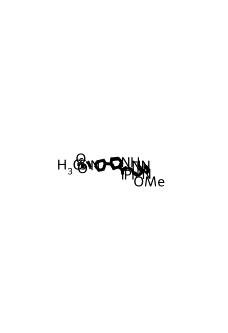 COc1cc(-c2[nH]c3ccc(C4CCN(CCS(C)(=O)=O)CC4)cc3c2C(C)C)nn2ncnc12